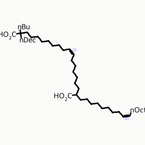 CCCCCCCC/C=C\CCCCCCCCC(CCCCCC/C=C\CCCCCCCCC(CCCC)(CCCCCCCCCC)C(=O)O)C(=O)O